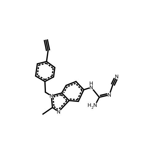 C#Cc1ccc(Cn2c(C)nc3cc(N/C(N)=N\C#N)ccc32)cc1